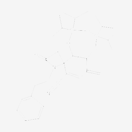 C=C1C=C(C#N)C2(CC(=O)N2OCc2ccccc2)C2O[Si](C(C)C)(C(C)C)O[Si](C(C)C)(C(C)C)OC12